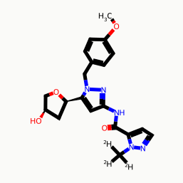 [2H]C([2H])([2H])n1nccc1C(=O)Nc1cc([C@H]2C[C@@H](O)CO2)n(Cc2ccc(OC)cc2)n1